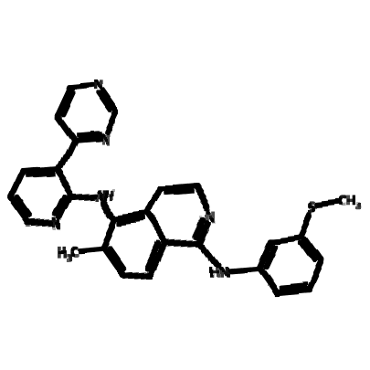 CSc1cccc(Nc2nccc3c(Nc4ncccc4-c4ccncn4)c(C)ccc23)c1